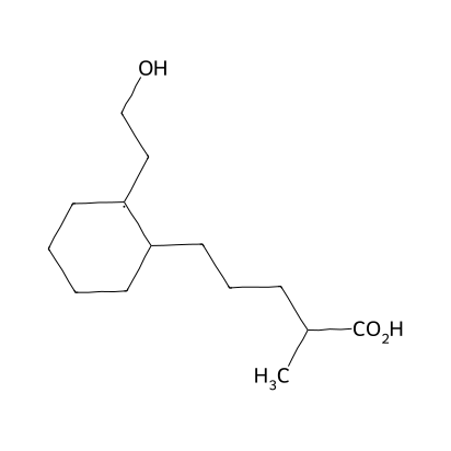 CC(CCCC1CCCC[C]1CCO)C(=O)O